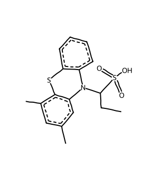 CCC(N1c2ccccc2Sc2c(C)cc(C)cc21)S(=O)(=O)O